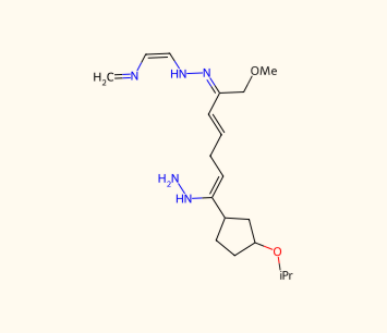 C=N/C=C\N/N=C(\C=C\C/C=C(\NN)C1CCC(OC(C)C)C1)COC